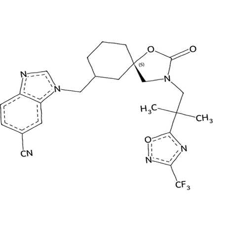 CC(C)(CN1C[C@@]2(CCCC(Cn3cnc4ccc(C#N)cc43)C2)OC1=O)c1nc(C(F)(F)F)no1